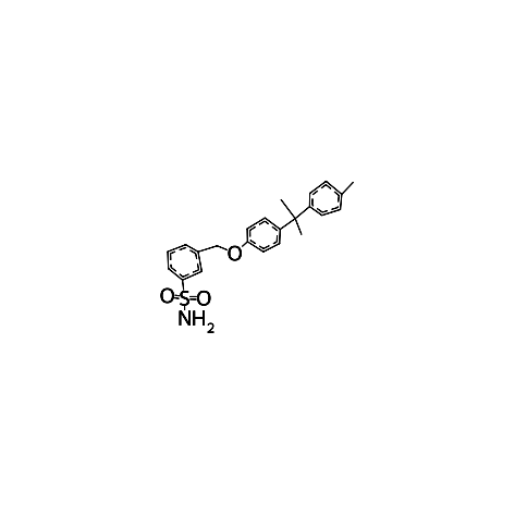 Cc1ccc(C(C)(C)c2ccc(OCc3cccc(S(N)(=O)=O)c3)cc2)cc1